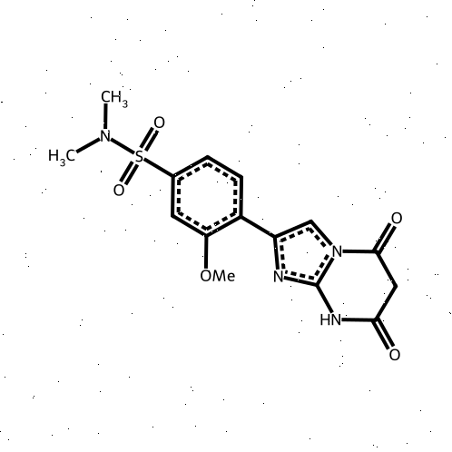 COc1cc(S(=O)(=O)N(C)C)ccc1-c1cn2c(n1)NC(=O)CC2=O